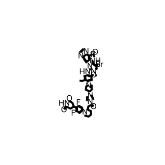 CCc1cc(Nc2ncc(Br)c(Nc3ccc4nccnc4c3P(C)(C)=O)n2)c(OC)cc1N1CCC(N2CCN(C(=O)CC3CCCCN3c3cc(F)c(C4CC(=O)NC(=O)C4)c(F)c3)CC2)CC1